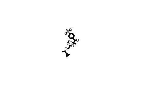 CC[C@@](C)(OC(=O)COC(C)C1CC1)C(=O)c1ccc(S(C)(=O)=O)cc1